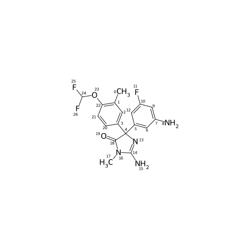 Cc1cc(C2(c3cc(N)cc(F)c3)N=C(N)N(C)C2=O)ccc1OC(F)F